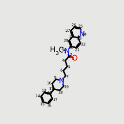 CN(C(=O)CCCCN1CCC(c2ccccc2)CC1)c1ccc2ncccc2c1